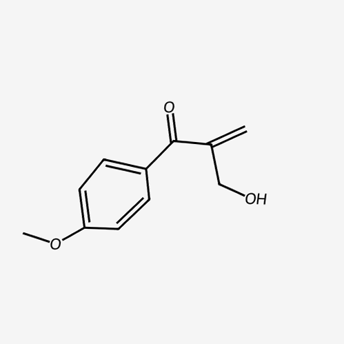 C=C(CO)C(=O)c1ccc(OC)cc1